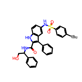 CC(C)(C)c1ccc(S(=O)(=O)Nc2ccc3[nH]c(C(=O)NC(CO)c4ccccc4)c(-c4ccccc4)c3c2)cc1